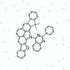 CC1(C)c2ccccc2-c2cc3ccc4cc5c6ccccc6oc5c5c4c3c(c21)n5-c1nc(-c2ccccc2)nc2ccccc12